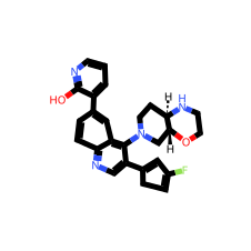 Oc1ncccc1-c1ccc2ncc(C3=CC(F)=CC3)c(N3CC[C@H]4NCCO[C@@H]4C3)c2c1